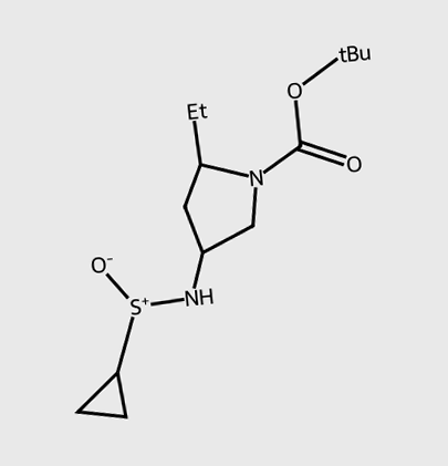 CCC1CC(N[S+]([O-])C2CC2)CN1C(=O)OC(C)(C)C